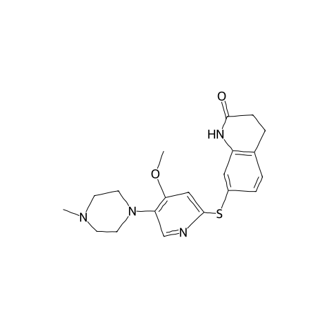 COc1cc(Sc2ccc3c(c2)NC(=O)CC3)ncc1N1CCN(C)CC1